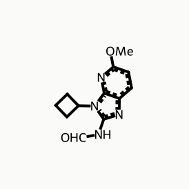 COc1ccc2nc(NC=O)n(C3CCC3)c2n1